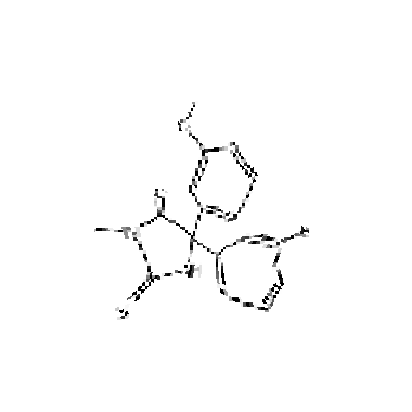 COc1cccc(C2(c3cccc(Br)c3)NC(=S)N(C)C2=O)c1